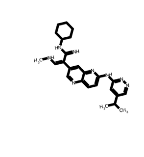 CN/C=C(\C(=N)NC1CCCCC1)c1cnc2ccc(Nc3cc(C(C)C)cnn3)nc2c1